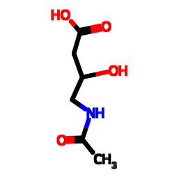 CC(=O)NCC(O)CC(=O)O